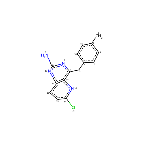 Cc1ccc(Cc2nc(N)nc3ccc(Cl)nc23)cc1